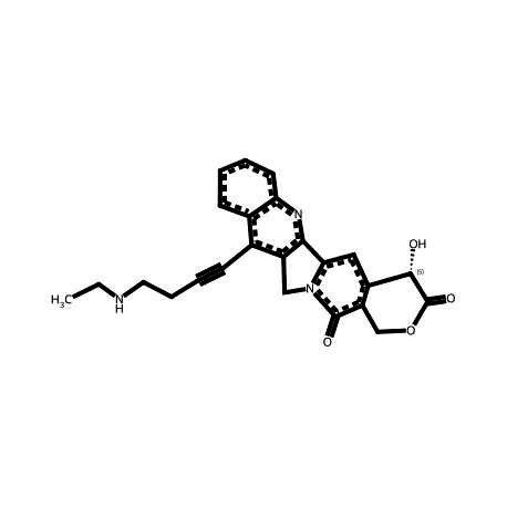 CCNCCC#Cc1c2c(nc3ccccc13)-c1cc3c(c(=O)n1C2)COC(=O)[C@H]3O